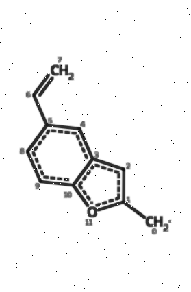 [CH2]c1cc2cc(C=C)ccc2o1